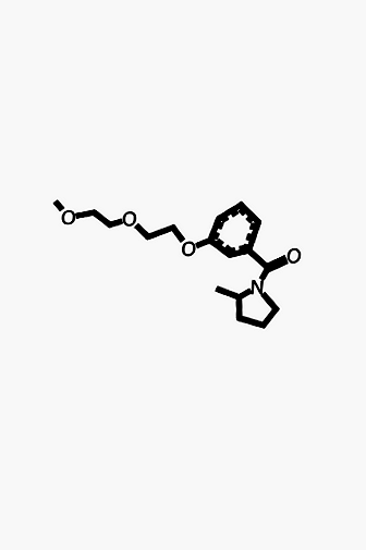 COCCOCCOc1cccc(C(=O)N2CCCC2C)c1